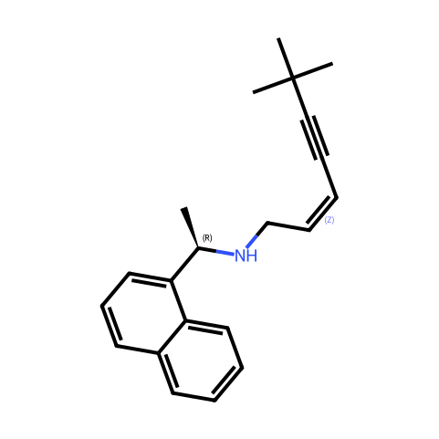 C[C@@H](NC/C=C\C#CC(C)(C)C)c1cccc2ccccc12